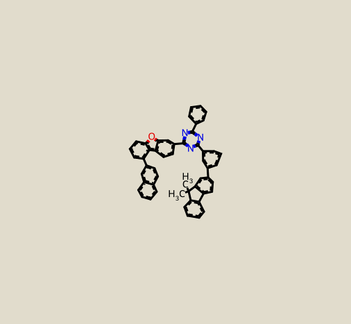 CC1(C)c2ccccc2-c2ccc(-c3cccc(-c4nc(-c5ccccc5)nc(-c5ccc6c(c5)oc5cccc(-c7ccc8ccccc8c7)c56)n4)c3)cc21